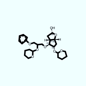 O[C@H]1C[C@H]2[C@H](OCC(COc3ccccc3)OC3CCCCO3)[C@@H](OC3CCCCO3)C[C@H]2O1